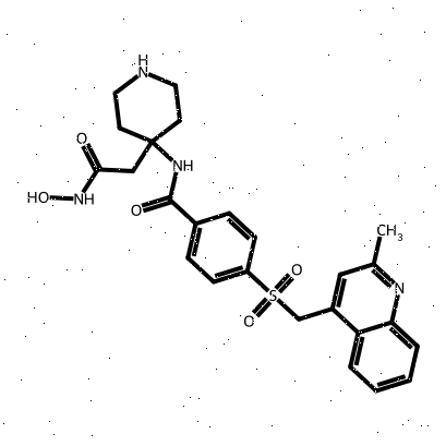 Cc1cc(CS(=O)(=O)c2ccc(C(=O)NC3(CC(=O)NO)CCNCC3)cc2)c2ccccc2n1